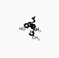 Cc1ccnc(NC2CCC34C[C@H](C)C2C32CCN(CC3CC3)C4Cc3ccc(O)cc32)c1